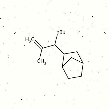 C=C(C)C(CCCC)C1CC2CCC1C2